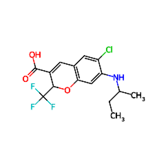 CCC(C)Nc1cc2c(cc1Cl)C=C(C(=O)O)C(C(F)(F)F)O2